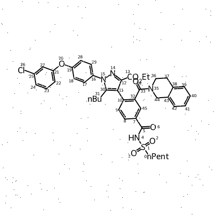 CCCCCS(=O)(=O)NC(=O)c1ccc(-c2c(C(=O)OCC)nn(-c3ccc(Oc4cccc(Cl)c4)cc3)c2CCCC)c(C(=O)N2CCc3ccccc3C2)c1